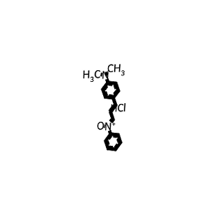 CN(C)c1ccc(C=CC=[N+]([O-])c2ccccc2)cc1.Cl